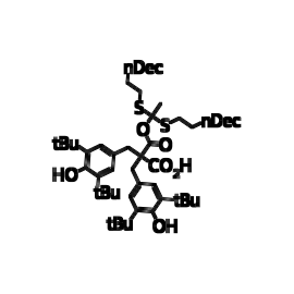 CCCCCCCCCCCCSC(C)(OC(=O)C(Cc1cc(C(C)(C)C)c(O)c(C(C)(C)C)c1)(Cc1cc(C(C)(C)C)c(O)c(C(C)(C)C)c1)C(=O)O)SCCCCCCCCCCCC